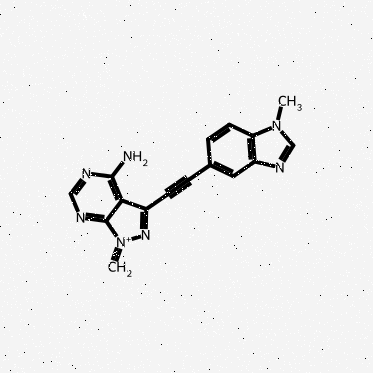 C=[N+]1N=C(C#Cc2ccc3c(c2)ncn3C)c2c(N)ncnc21